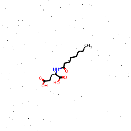 CCCCCCCC(=O)N[C@@H](CCC(=O)O)C(=O)O